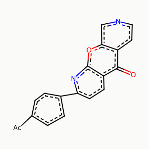 CC(=O)c1ccc(-c2ccc3c(=O)c4ccncc4oc3n2)cc1